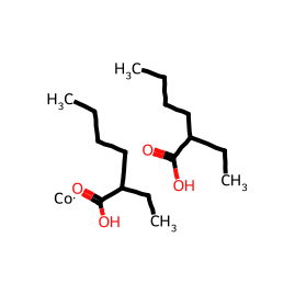 CCCCC(CC)C(=O)O.CCCCC(CC)C(=O)O.[Co]